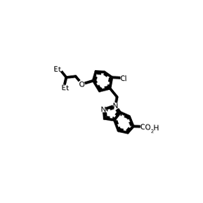 CCC(CC)COc1ccc(Cl)c(Cn2ncc3ccc(C(=O)O)cc32)c1